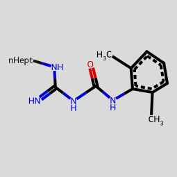 CCCCCCCNC(=N)NC(=O)Nc1c(C)cccc1C